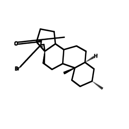 C[C@@H]1CC[C@]2(C)C3CC[C@]45C=C(Br)C(=O)C4CCC5C3CC[C@H]2C1